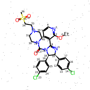 CCOc1ncccc1C1=N[C@@H](c2ccc(Cl)cc2)[C@@H](c2ccc(Cl)cc2)N1C(=O)N1CCN(CCS(C)(=O)=O)CC1